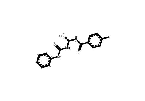 Cc1ccc(C(=O)NC(NC(=O)Nc2ccccc2)C(Cl)(Cl)Cl)cc1